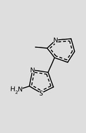 Cc1ncccc1-c1csc(N)n1